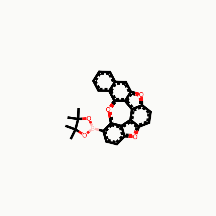 CC1(C)OB(c2ccc3oc4ccc5oc6cc7ccccc7c7oc2c3c4c5c67)OC1(C)C